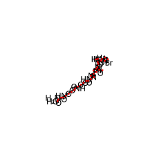 CC(=O)c1nn(CC(=O)N2C[C@H]3C[C@H]3[C@H]2C(=O)Nc2nc(Br)ccc2C)c2ccc(-c3cnc(CNC(=O)COCCOCCNC(=O)COCCOCCNC(=O)CC[C@H](N)C(=O)O)nc3)cc12